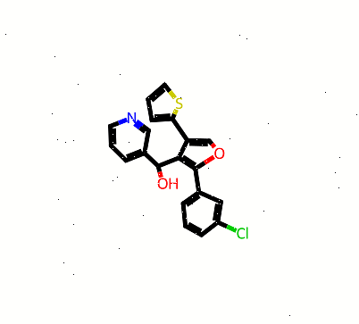 OC(c1cccnc1)c1c(-c2cccs2)coc1-c1cccc(Cl)c1